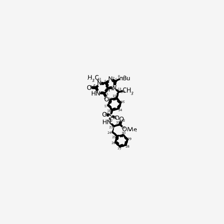 CCCCc1nc2c(c(=O)[nH]c(=O)n2C)n1C(C)c1ccc(S(=O)(=O)N[C@H](Cc2ccccc2)C(=O)OC)cc1